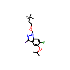 CC(C)Oc1cc2c(I)nn(COCC[Si](C)(C)C)c2cc1F